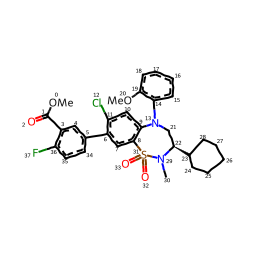 COC(=O)c1cc(-c2cc3c(cc2Cl)N(c2ccccc2OC)C[C@@H](C2CCCCC2)N(C)S3(=O)=O)ccc1F